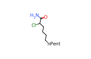 CCCCCCCCCC(Cl)C(N)=O